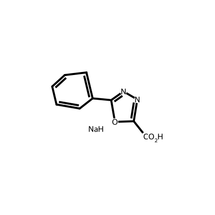 O=C(O)c1nnc(-c2ccccc2)o1.[NaH]